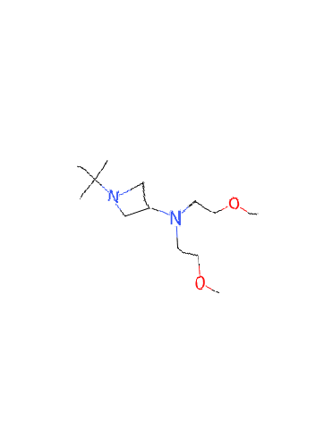 COCCN(CCOC)C1CN(C(C)(C)C)C1